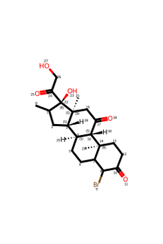 CC1C[C@H]2[C@@H]3CCC4C(Br)C(=O)CC[C@]4(C)[C@H]3C(=O)C[C@]2(C)[C@@]1(O)C(=O)CO